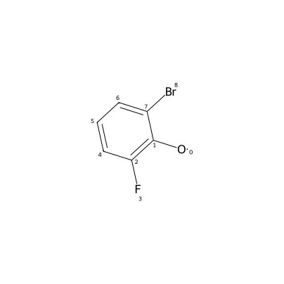 [O]c1c(F)cccc1Br